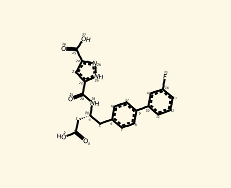 O=C(O)C[C@@H](Cc1ccc(-c2cccc(F)c2)cc1)NC(=O)c1cc(C(=O)O)n[nH]1